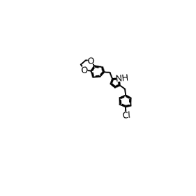 Clc1ccc(Cc2ccc(Cc3ccc4c(c3)OCCO4)[nH]2)cc1